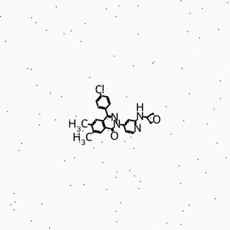 Cc1cc2c(-c3ccc(Cl)cc3)nn(-c3ccnc(NC4COC4)c3)c(=O)c2cc1C